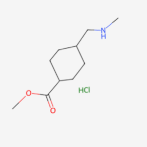 CNCC1CCC(C(=O)OC)CC1.Cl